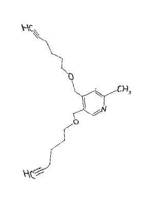 C#CCCCCOCc1[c]c(C)ncc1COCCCCC#C